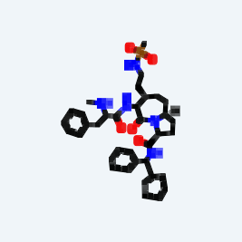 CNC(Cc1ccccc1)C(=O)NC1C(=O)N2[C@@H](CC[C@@H]1CCNS(C)(=O)=O)CC[C@H]2C(=O)NC(c1ccccc1)c1ccccc1